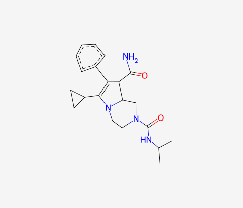 CC(C)NC(=O)N1CCN2C(C3CC3)=C(c3ccccc3)C(C(N)=O)C2C1